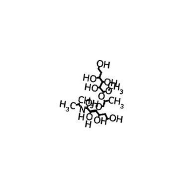 COC(OC(C)CO/C(=C(/O)C(O)NC(C)C)C(O)CCO)C(O)C(O)C(O)CCO